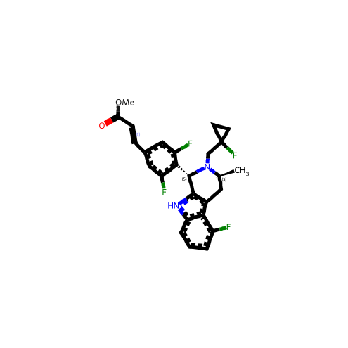 COC(=O)/C=C/c1cc(F)c([C@H]2c3[nH]c4cccc(F)c4c3C[C@H](C)N2CC2(F)CC2)c(F)c1